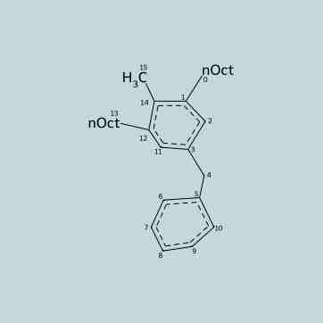 CCCCCCCCc1cc(Cc2ccccc2)cc(CCCCCCCC)c1C